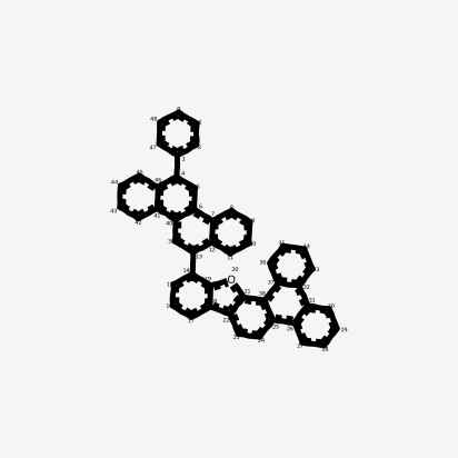 c1ccc(-c2cc3c4ccccc4c(-c4cccc5c4oc4c5ccc5c6ccccc6c6ccccc6c54)cc3c3ccccc23)cc1